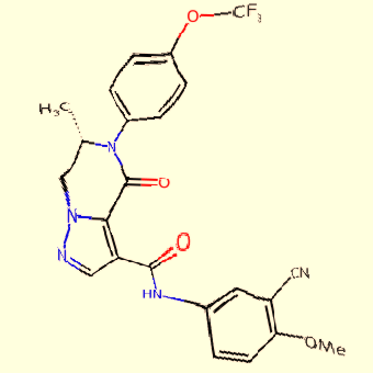 COc1ccc(NC(=O)c2cnn3c2C(=O)N(c2ccc(OC(F)(F)F)cc2)[C@@H](C)C3)cc1C#N